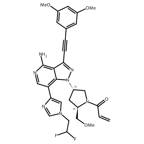 C=CC(=O)N1C[C@@H](n2nc(C#Cc3cc(OC)cc(OC)c3)c3c(N)ncc(-c4cn(CC(F)F)cn4)c32)C[C@@H]1COC